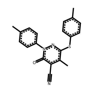 Cc1ccc(Sc2nn(-c3ccc(C)cc3)c(=O)c(C#N)c2C)cc1